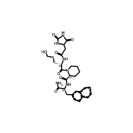 NC(=O)[C@H](Cc1ccc2ccccc2c1)NC(=O)[C@@H]1CCCCN1C(=O)[C@H](CSCO)NC(=O)CC1NC(=O)NC1=O